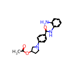 CC(=O)OC1CCN(c2ccc(C(=O)Nc3ccccc3N)cc2)C1